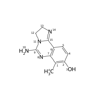 Cc1c(O)ccc2c1N=C(N)N1CCN=C21